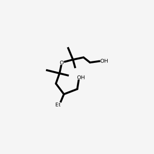 CCC(CO)CC(C)(C)OC(C)(C)CCO